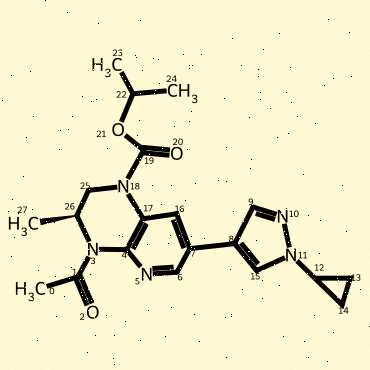 CC(=O)N1c2ncc(-c3cnn(C4CC4)c3)cc2N(C(=O)OC(C)C)C[C@@H]1C